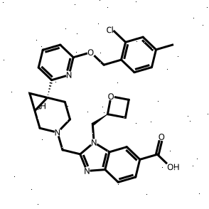 Cc1ccc(COc2cccc([C@]34CCN(Cc5nc6ccc(C(=O)O)cc6n5C[C@@H]5CCO5)C[C@H]3C4)n2)c(Cl)c1